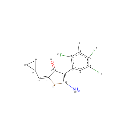 Cc1c(F)c(F)cc(C2=C(N)SC(=CC3CC3)C2=O)c1F